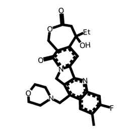 CCC1(O)CC(=O)OCc2c1cc1n(c2=O)Cc2c-1nc1cc(F)c(C)cc1c2CN1CCOCC1